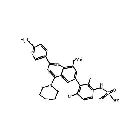 CCCS(=O)(=O)Nc1ccc(Cl)c(-c2cc(OC)c3nc(-c4ccc(N)nc4)nc(N4CCOCC4)c3c2)c1F